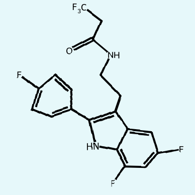 O=C(CC(F)(F)F)NCCc1c(-c2ccc(F)cc2)[nH]c2c(F)cc(F)cc12